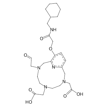 O=CCN1CCN(CC(=O)O)CCN(CC(=O)O)Cc2ccc(OCC(=O)NCC3CCCCC3)c(n2)C1